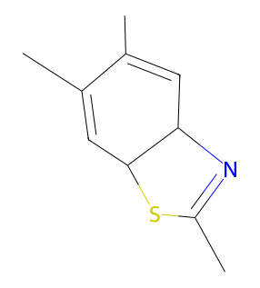 CC1=CC2N=C(C)SC2C=C1C